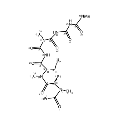 CCCC(=O)N(C)[C@H](CC)C(=O)N(C)[C@@H](CC(C)C)C(=O)NC(=O)N(C)C(=O)NC(=O)NC(=O)NC